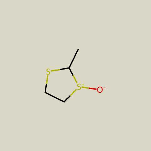 CC1SCC[S+]1[O-]